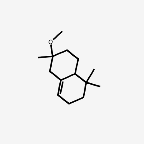 COC1(C)CCC2C(=CCCC2(C)C)C1